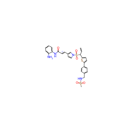 C=CC(c1ccc(-c2ccc(CNS(C)(=O)=O)cc2)s1)S(=O)(=O)n1ccc(/C=C/C(=O)Nc2ccccc2N)c1